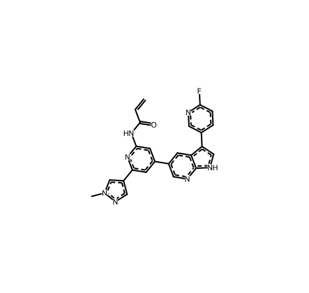 C=CC(=O)Nc1cc(-c2cnc3[nH]cc(-c4ccc(F)nc4)c3c2)cc(-c2cnn(C)c2)n1